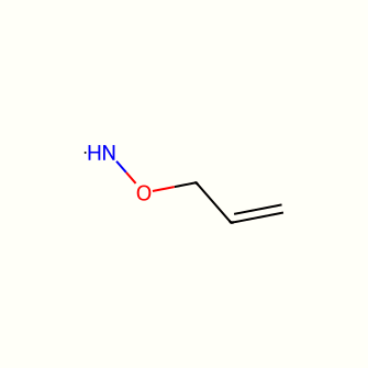 C=CCO[NH]